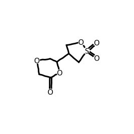 O=C1COCC(C2COS(=O)(=O)C2)O1